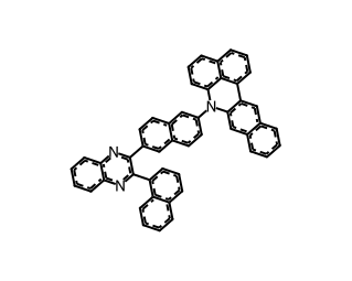 c1ccc2cc3c(cc2c1)-c1cccc2cccc(c12)N3c1ccc2cc(-c3nc4ccccc4nc3-c3cccc4ccccc34)ccc2c1